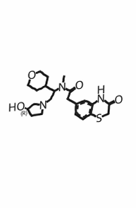 CN(C(=O)Cc1ccc2c(c1)NC(=O)CS2)C(CN1CC[C@@H](O)C1)C1CCOCC1